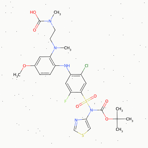 COc1ccc(Nc2cc(F)c(S(=O)(=O)N(C(=O)OC(C)(C)C)c3cscn3)cc2Cl)c(N(C)CCN(C)C(=O)O)c1